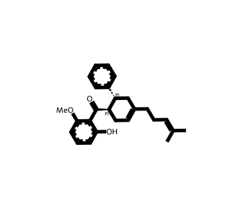 COc1cccc(O)c1C(=O)[C@@H]1CC=C(CCC=C(C)C)C[C@H]1c1ccccc1